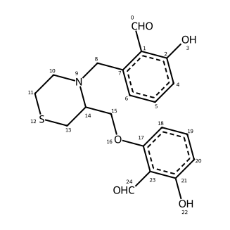 O=Cc1c(O)cccc1CN1CCSCC1COc1cccc(O)c1C=O